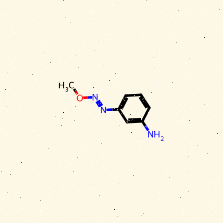 CO/N=N/c1cccc(N)c1